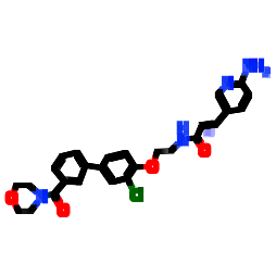 Nc1ccc(/C=C/C(=O)NCCOc2ccc(-c3cccc(C(=O)N4CCOCC4)c3)cc2Cl)cn1